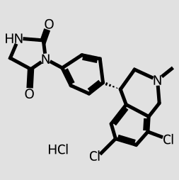 CN1Cc2c(Cl)cc(Cl)cc2[C@H](c2ccc(N3C(=O)CNC3=O)cc2)C1.Cl